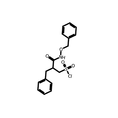 O=C(NOCc1ccccc1)C(Cc1ccccc1)CS(=O)(=O)Cl